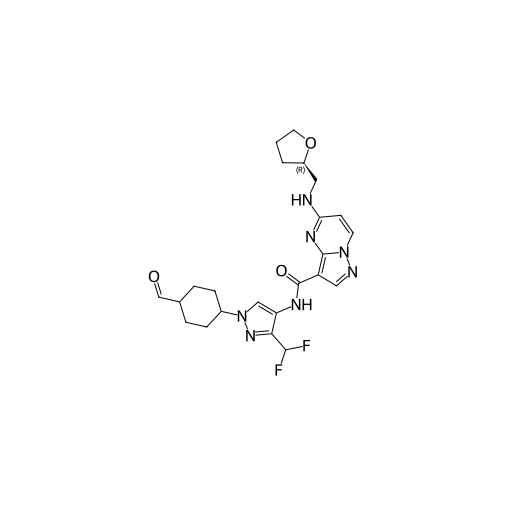 O=CC1CCC(n2cc(NC(=O)c3cnn4ccc(NC[C@H]5CCCO5)nc34)c(C(F)F)n2)CC1